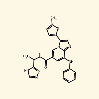 Cc1ccc(-c2cnc3c(Nc4ccccc4)cc(C(=O)NC(C)c4nnc[nH]4)cn23)s1